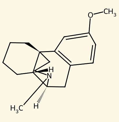 COc1ccc2c(c1)[C@@]13CCCC[C@H]1[C@H](C2)N(C)CC3